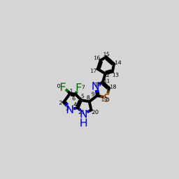 Fc1cnc2c(c1F)C(c1nc(-c3ccccc3)cs1)CN2